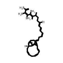 BC(=C)/C(B)=C(B)\C(B)=C(/C)C(C)CC/C(=C/C=C/C=C\C/C=C/C1=C2/C/C3=C\C/C=C1/C=C/C=C\C/C=C\C[C@H]32)CC